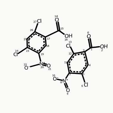 O=C(O)c1cc(Cl)c([N+](=O)[O-])cc1Cl.O=C(O)c1cc([N+](=O)[O-])c(Cl)cc1Cl